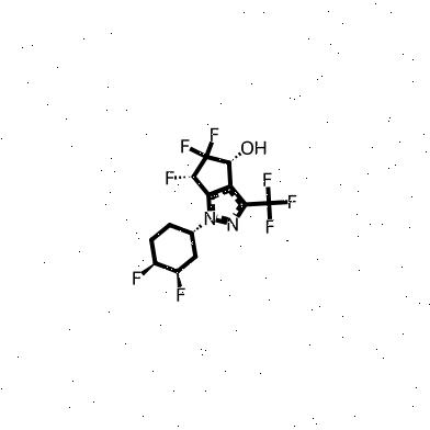 O[C@@H]1c2c(C(F)(F)F)nn([C@H]3CC[C@H](F)[C@H](F)C3)c2[C@H](F)C1(F)F